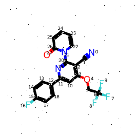 N#Cc1c(OCC(F)(F)F)cc(-c2ccc(F)cc2)nc1-n1ccccc1=O